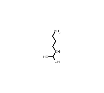 NCCC[SiH]C(O)O